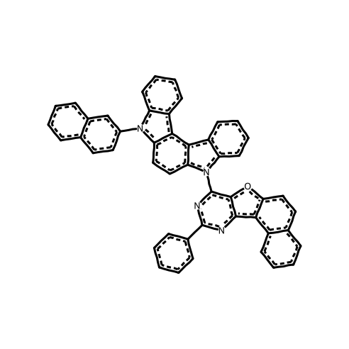 c1ccc(-c2nc(-n3c4ccccc4c4c5c6ccccc6n(-c6ccc7ccccc7c6)c5ccc43)c3oc4ccc5ccccc5c4c3n2)cc1